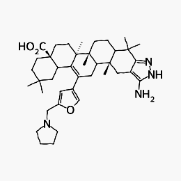 CC1(C)CC[C@]2(C(=O)O)CC[C@]3(C)C(=C(c4coc(CN5CCCC5)c4)CC4[C@@]5(C)Cc6c(n[nH]c6N)C(C)(C)C5CC[C@]43C)C2C1